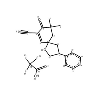 CC1(C)CC2(C=C(C#N)C1=O)CC(c1cnccn1)CO2.O=C(O)C(F)(F)F